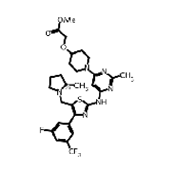 COC(=O)COC1CCN(c2cc(Nc3nc(-c4cc(F)cc(C(F)(F)F)c4)c(CN4CCC[C@H]4C)s3)nc(C)n2)CC1